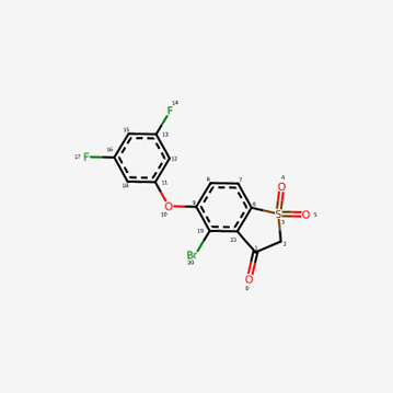 O=C1CS(=O)(=O)c2ccc(Oc3cc(F)cc(F)c3)c(Br)c21